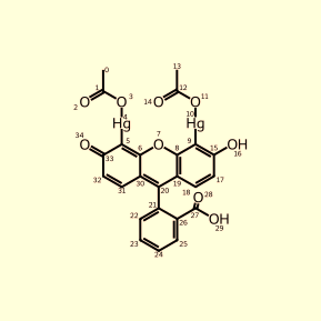 CC(=O)[O][Hg][c]1c2oc3[c]([Hg][O]C(C)=O)c(O)ccc3c(-c3ccccc3C(=O)O)c-2ccc1=O